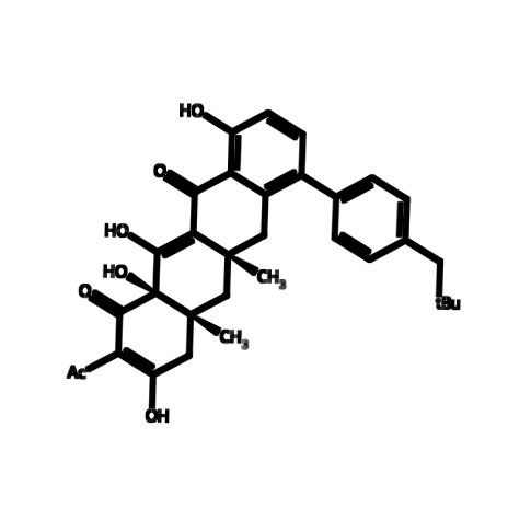 CC(=O)C1=C(O)C[C@@]2(C)C[C@@]3(C)Cc4c(-c5ccc(CC(C)(C)C)cc5)ccc(O)c4C(=O)C3=C(O)[C@@]2(O)C1=O